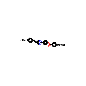 CCCCCCCCCCC1CCC(CCc2cnc(-c3ccc(OC(=O)C4CCC(CCCCC)CC4)cc3)nc2)CC1